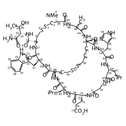 CN[C@H]1CSSC[C@@H](C(=O)N[C@H](C(N)=O)[C@@H](C)O)NC(=O)[C@H](Cc2c[nH]c3ccccc23)NC(=O)[C@@H]2CCSSCCC[C@H](NC(=O)[C@H](C)NC1=O)C(=O)N[C@@H](Cc1c[nH]cn1)C(=O)N[C@@H](CC(C)C)C(=O)NCC(=O)N[C@@H](CCC(=O)O)C(=O)N[C@@H](CC(C)C)C(=O)N2